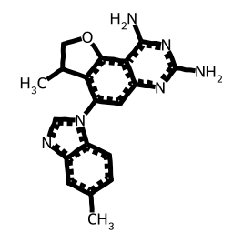 Cc1ccc2c(c1)ncn2-c1cc2nc(N)nc(N)c2c2c1C(C)CO2